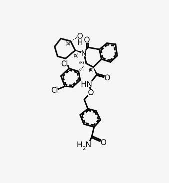 NC(=O)c1ccc(CONC(=O)[C@@H]2c3ccccc3C(=O)N([C@H]3CCCC[C@@H]3O)[C@H]2c2ccc(Cl)cc2Cl)cc1